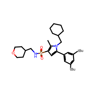 Cc1c(S(=O)(=O)NCC2CCOCC2)cc(-c2cc(C(C)(C)C)cc(C(C)(C)C)c2)n1CC1CCCCC1